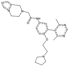 Cc1ncnc(C)c1-c1cc(NC(=O)CN2CCn3cccc3C2)ccc1OCCN1CCCC1